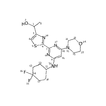 CC(O)c1csc(-c2nc(NC3CCC(F)(F)CC3)cc(N3CCOCC3)n2)n1